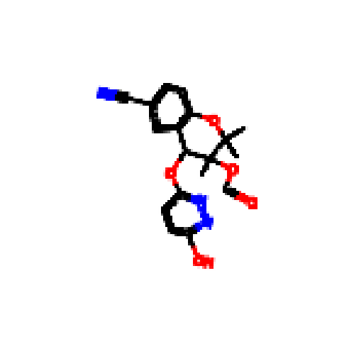 CC1(C)Oc2ccc(C#N)cc2C(Oc2ccc(O)nn2)C1(C)OC=O